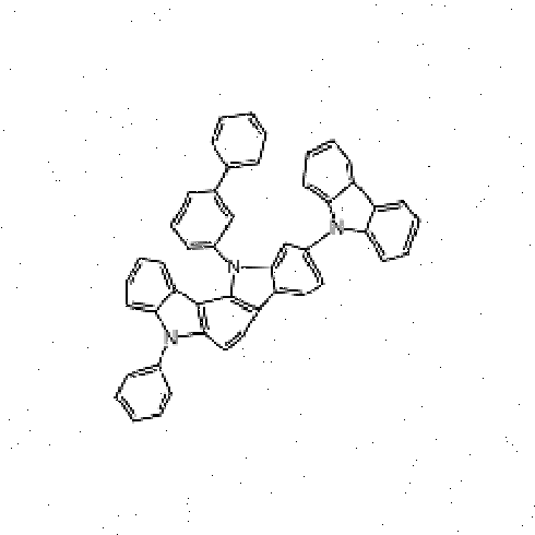 c1ccc(-c2cccc(-n3c4cc(-n5c6ccccc6c6ccccc65)ccc4c4ccc5c(c6ccccc6n5-c5ccccc5)c43)c2)cc1